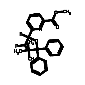 COC(=O)c1cccc(C(F)(O[Si](c2ccccc2)(c2ccccc2)C(C)(C)C)C(F)F)n1